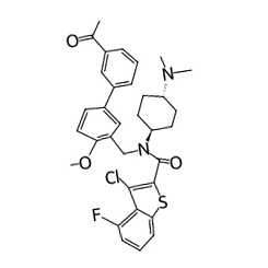 COc1ccc(-c2cccc(C(C)=O)c2)cc1CN(C(=O)c1sc2cccc(F)c2c1Cl)[C@H]1CC[C@H](N(C)C)CC1